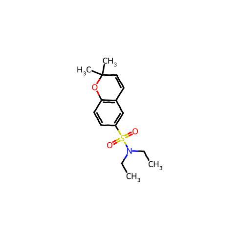 CCN(CC)S(=O)(=O)c1ccc2c(c1)C=CC(C)(C)O2